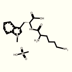 CS(=O)(=O)O.Cn1cc(C[C@@H](NC(=O)C(N)CCCCN)C(=O)O)c2ccccc21